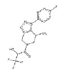 CC1CN(C(=O)C(O)C(F)(F)F)Cc2cnn(-c3ccc(F)cn3)c21